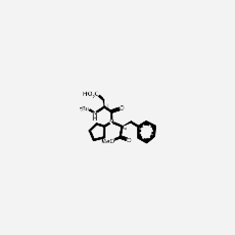 COC(=O)[C@H](Cc1ccccc1)N(C(=O)[C@H](CC(=O)O)NC(C)(C)C)C1CCCC1